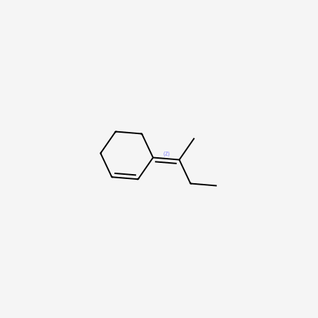 CC/C(C)=C1\C=CCCC1